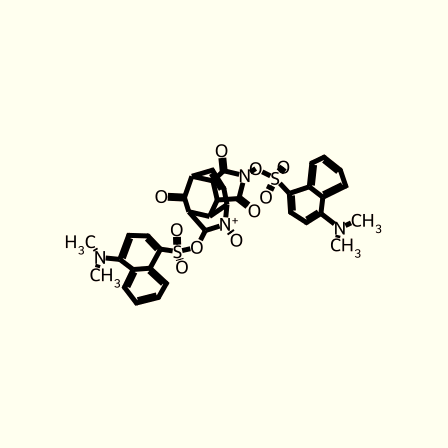 CN(C)c1ccc(S(=O)(=O)OC2C3C(=O)C4C=CC(C3C3C(=O)N(OS(=O)(=O)c5ccc(N(C)C)c6ccccc56)C(=O)C43)[N+]2=O)c2ccccc12